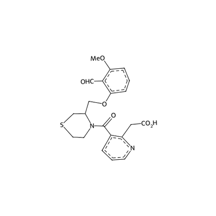 COc1cccc(OCC2CSCCN2C(=O)c2cccnc2CC(=O)O)c1C=O